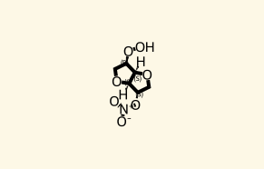 O=[N+]([O-])O[C@H]1CO[C@H]2[C@@H]1OC[C@H]2OO